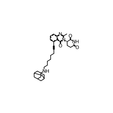 Cc1nc2cccc(C#CCCCCCCNC34CC5CC(CC(C5)C3)C4)c2c(=O)n1[C@@H]1CCC(=O)NC1=O